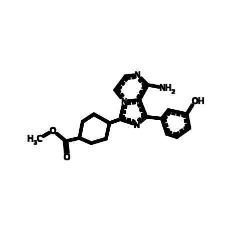 COC(=O)C1CCC(c2nc(-c3cccc(O)c3)c3c(N)nccn23)CC1